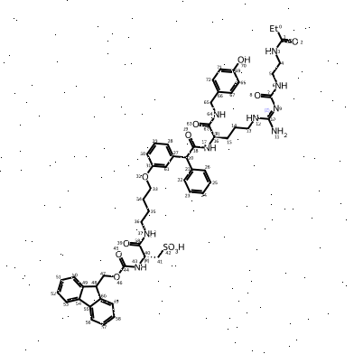 CCC(=O)NCCNC(=O)/N=C(/N)NCCC[C@@H](NC(=O)C(c1ccccc1)c1cccc(OCCCCNC(=O)[C@H](CS(=O)(=O)O)NC(=O)OCC2c3ccccc3-c3ccccc32)c1)C(=O)NCc1ccc(O)cc1